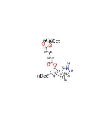 CCCCCCCCCCCCC(CCOC(=O)CCCCC(OCCCCCCCC)OCCCCCCCC)CC1(C)CCN(C)CC1